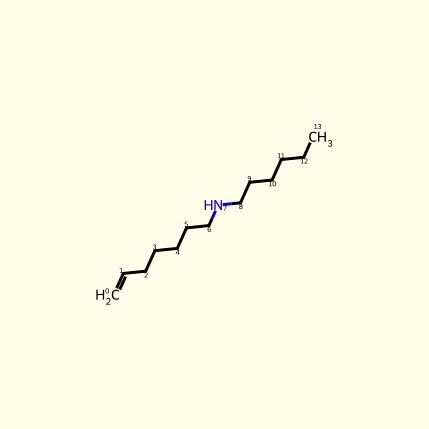 C=CCCCCCNCCCCCC